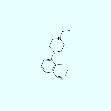 C/C=C\c1cccc(N2CCN(CC)CC2)c1C